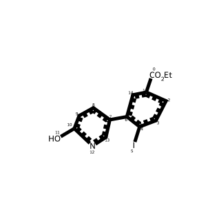 CCOC(=O)c1ccc(I)c(-c2ccc(O)nc2)c1